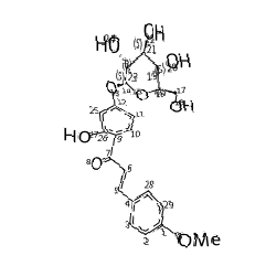 COc1ccc(C=CC(=O)c2ccc(O[C@@H]3O[C@H](CO)[C@@H](O)[C@H](O)[C@H]3O)cc2O)cc1